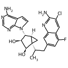 CC(Cc1cc(F)c2cc(Cl)c(N)nc2c1)[C@@]12C[C@@H]1[C@@H](n1ccc3c(N)ncnc31)[C@H](O)[C@@H]2O